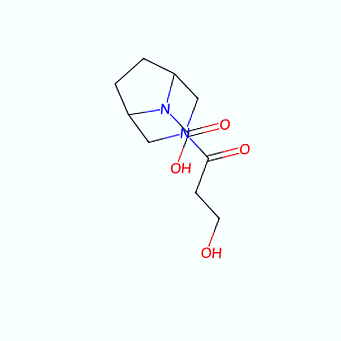 O=C(CCO)N1CC2CCC(C1)N2C(=O)O